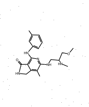 CNC(CNc1nc(Nc2cccc(C)c2)c2c(c1C)CNC2=O)COC